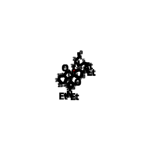 C=CCN(CC=C)CCN1C(=O)c2ccccc2C12c1ccc(N(CC)CC)cc1Oc1cc(N(CC)CC)ccc12